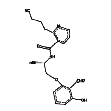 CCCC[C@@H](COc1cccc(O)c1C=O)NC(=O)c1cccnc1CCCC#N